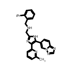 Cc1cccc(-c2nc(CNCc3ccccc3C(C)C)[nH]c2-c2ccc3ncnn3c2)n1